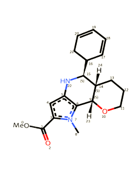 COC(=O)c1cc2c(n1C)[C@H]1OCCC[C@H]1[C@H](C1C=CC=CC1)N2